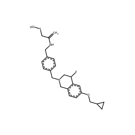 C=C(CSO)NCc1ccc(CN2Cc3ccc(OCC4CC4)cc3C(F)C2)cc1